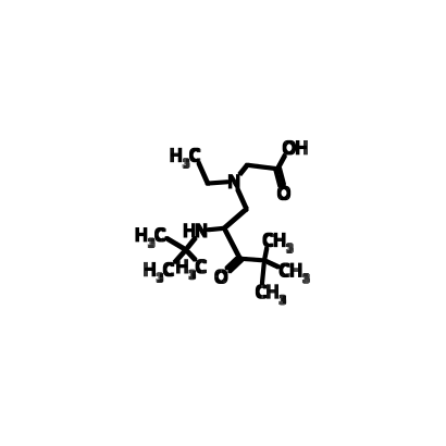 CCN(CC(=O)O)CC(NC(C)(C)C)C(=O)C(C)(C)C